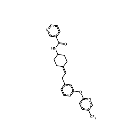 O=C(NC1CCC(=CCc2cccc(Oc3ccc(C(F)(F)F)cn3)c2)CC1)c1cccnc1